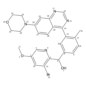 COc1cnc(C(O)c2ccc(C)c(-c3ncnc4cc(N5CCOCC5)ccc34)c2)c(Br)c1